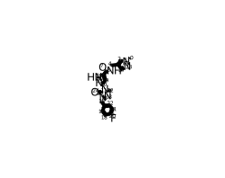 Cn1cc(CNC(=O)c2cc(-n3cnn(Cc4ccc(F)cc4)c3=O)n[nH]2)cn1